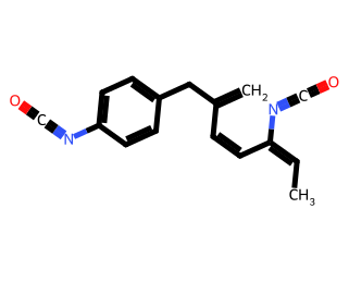 C=C(/C=C\C(=C/C)N=C=O)Cc1ccc(N=C=O)cc1